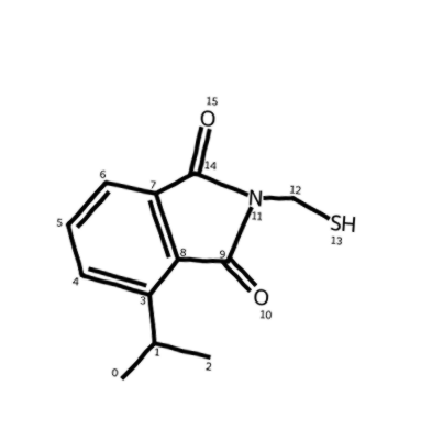 CC(C)c1cccc2c1C(=O)N(CS)C2=O